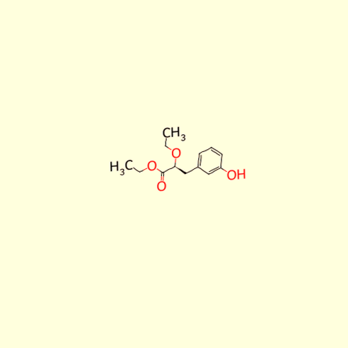 CCOC(=O)[C@H](Cc1cccc(O)c1)OCC